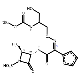 C[C@H]1[C@H](NC(=O)/C(=N\OCC(CO)NC(=O)OC(C)(C)C)c2cccs2)C(=O)N1S(=O)(=O)O